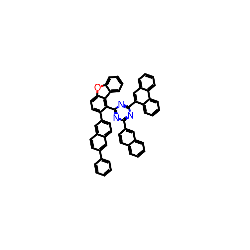 c1ccc(-c2ccc3cc(-c4ccc5oc6ccccc6c5c4-c4nc(-c5ccc6ccccc6c5)nc(-c5cc6ccccc6c6ccccc56)n4)ccc3c2)cc1